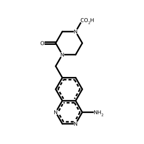 Nc1ncnc2cc(CN3CCN(C(=O)O)CC3=O)ccc12